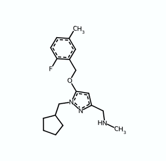 CNCc1cc(OCc2cc(C)ccc2F)n(CC2CCCC2)n1